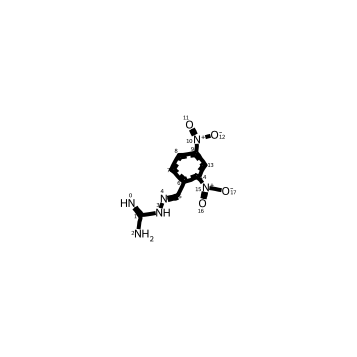 N=C(N)NN=Cc1ccc([N+](=O)[O-])cc1[N+](=O)[O-]